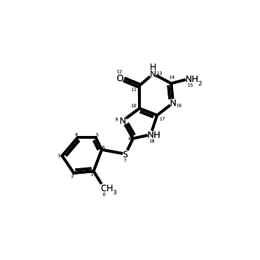 Cc1ccccc1Sc1nc2c(=O)[nH]c(N)nc2[nH]1